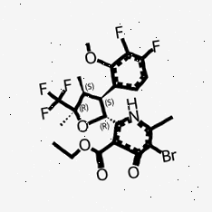 CCOC(=O)c1c([C@@H]2O[C@@](C)(C(F)(F)F)[C@@H](C)[C@H]2c2ccc(F)c(F)c2OC)[nH]c(C)c(Br)c1=O